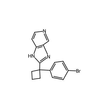 Brc1ccc(C2(c3nc4cnccc4[nH]3)CCC2)cc1